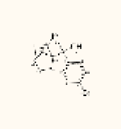 CC(O)(c1ccc(Br)cc1)C12CCC(CC1I)C2